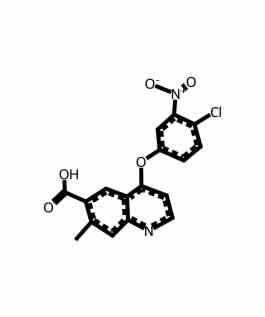 Cc1cc2nccc(Oc3ccc(Cl)c([N+](=O)[O-])c3)c2cc1C(=O)O